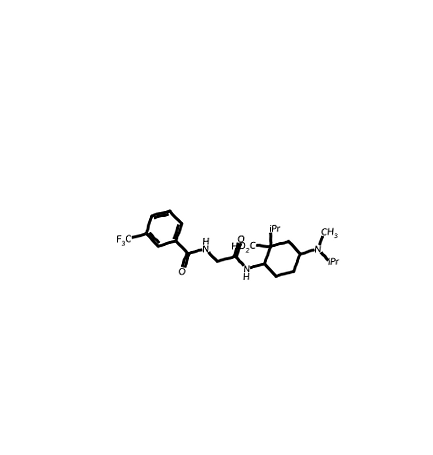 CC(C)N(C)C1CCC(NC(=O)CNC(=O)c2cccc(C(F)(F)F)c2)C(C(=O)O)(C(C)C)C1